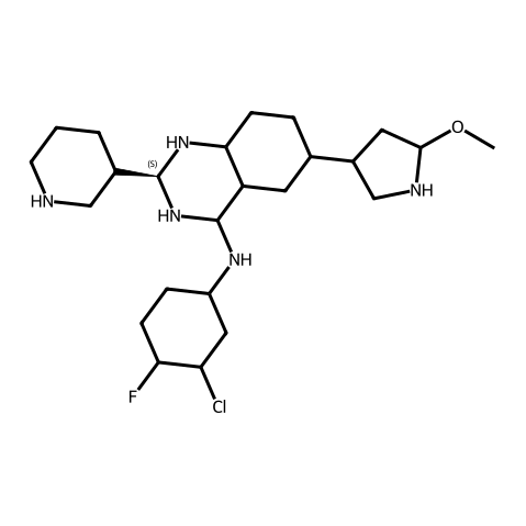 COC1CC(C2CCC3N[C@H](C4CCCNC4)NC(NC4CCC(F)C(Cl)C4)C3C2)CN1